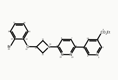 CCOC(=O)c1cncc(-c2ccc(N3CC(Oc4ccccc4Br)C3)nn2)c1